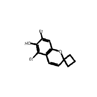 CCc1cc2c(c(CC)c1O)C=CC1(CCC1)O2